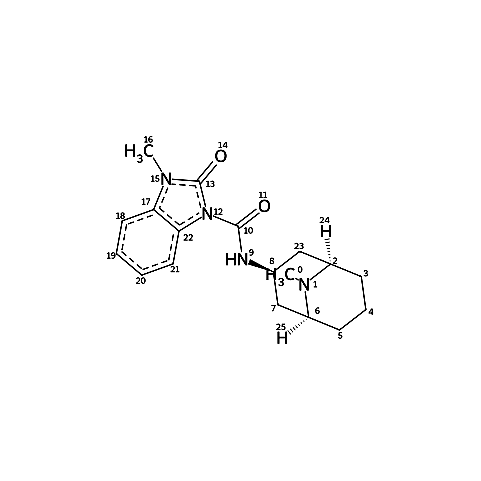 CN1[C@@H]2CCC[C@H]1C[C@@H](NC(=O)n1c(=O)n(C)c3ccccc31)C2